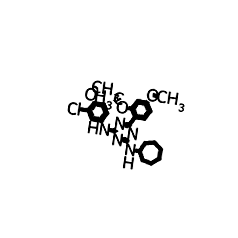 COc1ccc(-c2nc(Nc3ccc(OC)c(Cl)c3)nc(NC3CCCCCC3)n2)c(OC)c1